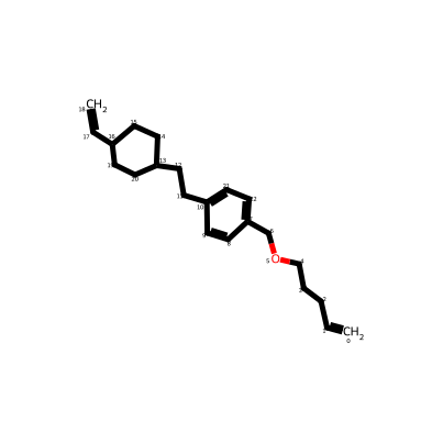 C=CCCCOCc1ccc(CCC2CCC(C=C)CC2)cc1